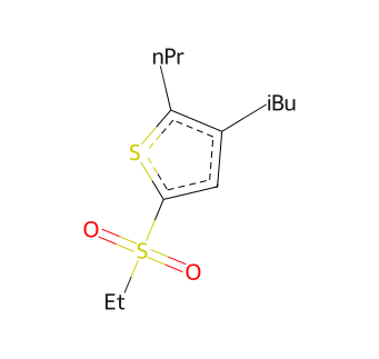 CCCc1sc(S(=O)(=O)CC)cc1C(C)CC